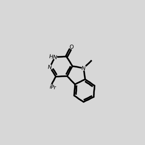 CC(C)c1n[nH]c(=O)c2c1c1ccccc1n2C